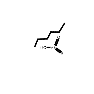 CCCCCC.O=[SH](O)=S